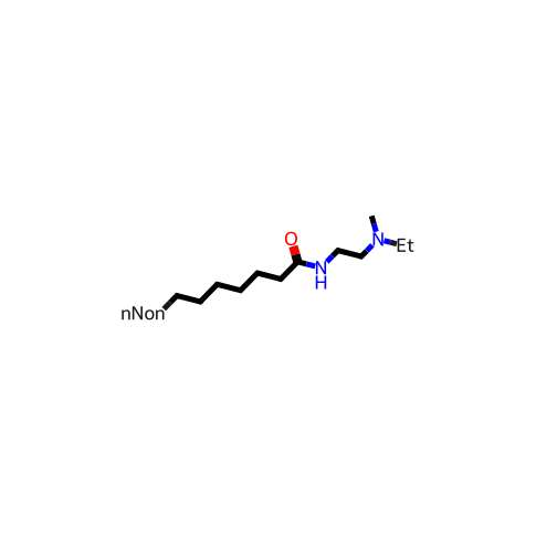 CCCCCCCCCCCCCCCC(=O)NCCN(C)CC